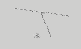 CCCCCCCCCCCCCCCCC[CH2][Sn+]([CH2]CCCCCCCCCCCCCCCCC)[CH2]CCCCCCCCCCCCCCCCC.O=S(=O)([O-])C(F)(F)F